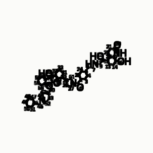 O=C(c1ccc(CCNC[C@H](O)c2ccc(O)c3[nH]c(=O)ccc23)cc1)N1CC=C(c2cccc(C(O)(C(=O)OCC3CCN(Cc4ccccc4)CC3)c3ccccc3)c2)C1